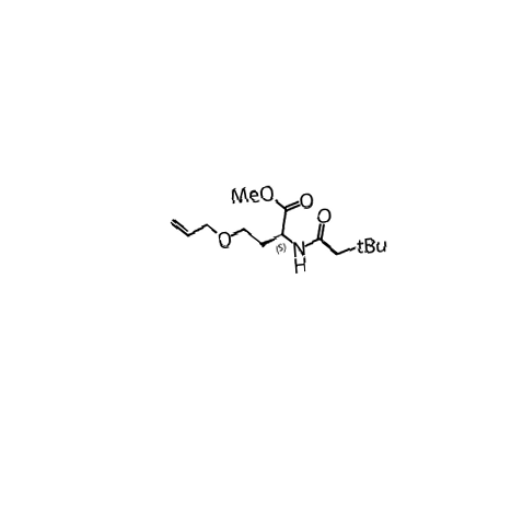 C=CCOCC[C@H](NC(=O)CC(C)(C)C)C(=O)OC